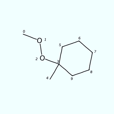 COOC1(C)CCCCC1